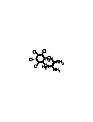 Cl[C@H]1[C@H](Cl)[C@@H](Cl)[C@@H](Cl)[C@H](Cl)[C@H]1Cl.NC(N)=C(N)N